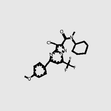 COc1ccc(-c2cc(C(F)(F)F)n3nc(C(=O)N(C)C4CCCCC4)c(Cl)c3n2)cc1